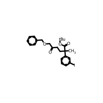 CC(C)(C)OC(=O)C(C)(CCC(=O)COCc1ccccc1)c1cccc(I)c1